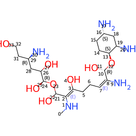 CN/C(=C(/O)CC/C=C(/N)[C@H](O)O[C@H]1CC[C@H](N)CC1N)C(O)O[C@@H](O)C(O)C[C@H](N)CCO